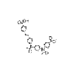 COC(=O)c1ccc(N(C(C)=O)c2ccc(N(C(C)=O)c3ccc(/C=C/c4ccc(C(=O)O)cc4)cc3)cc2)cc1